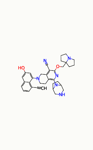 C#Cc1cccc2cc(O)cc(N3CCc4c(N5C6CCC5CNC6)nc(OCC56CCCN5CCC6)c(C#N)c4C3)c12